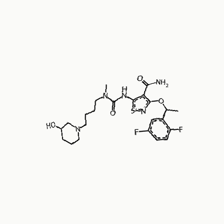 CC(Oc1nsc(NC(=O)N(C)CCCCN2CCCC(O)C2)c1C(N)=O)c1cc(F)ccc1F